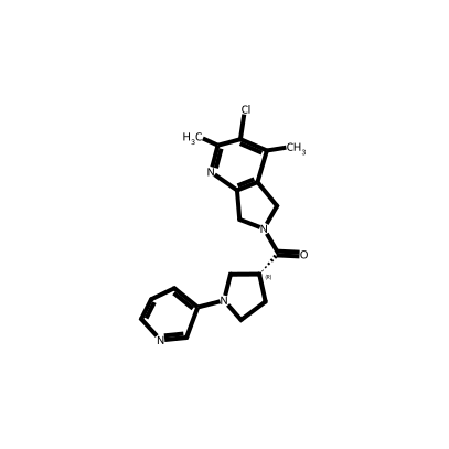 Cc1nc2c(c(C)c1Cl)CN(C(=O)[C@@H]1CCN(c3cccnc3)C1)C2